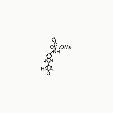 COCC[C@H](NCc1ccc2c(c1)nc(-c1c[nH]c(=O)c(C)c1)n2C)C(=O)OC1CCCC1